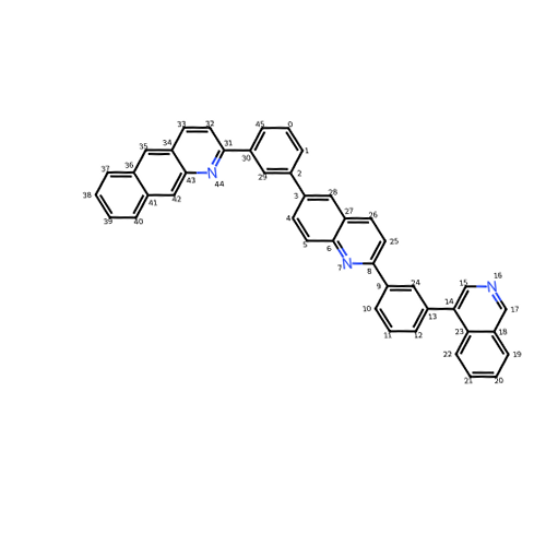 c1cc(-c2ccc3nc(-c4cccc(-c5cncc6ccccc56)c4)ccc3c2)cc(-c2ccc3cc4ccccc4cc3n2)c1